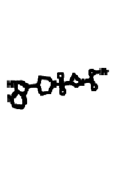 CC(C)OC(=O)N1CC(S(=O)(=O)N2CCC(c3c[nH]c4ncccc34)CC2)C1